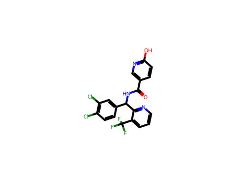 O=C(NC(c1ccc(Cl)c(Cl)c1)c1ncccc1C(F)(F)F)c1ccc(O)nc1